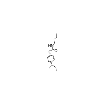 CCCCNC(=O)Oc1ccc(C(C)CC)cc1